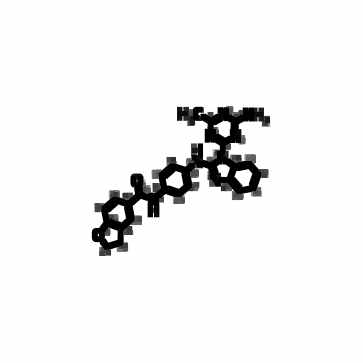 Cc1nc(N)nc(-n2c(Nc3ccc(NC(=O)c4ccc5c(c4)CCO5)cc3)nc3ccccc32)n1